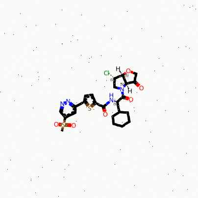 CS(=O)(=O)c1cnnc(-c2ccc(C(=O)N[C@H](C(=O)N3C[C@H](Cl)[C@H]4OCC(=O)[C@H]43)C3CCCCC3)s2)c1